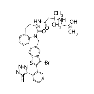 C[C@@H](O)CNC(C)(C)CC(=O)N[C@@H]1CCc2ccccc2N(Cc2ccc3sc(-c4ccccc4-c4nnn[nH]4)c(Br)c3c2)C1=O